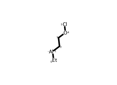 C[CH2][Al][CH2]COCl